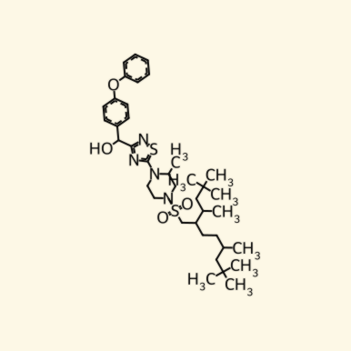 CC(CCC(CS(=O)(=O)N1CCN(c2nc(C(O)c3ccc(Oc4ccccc4)cc3)ns2)C(C)C1)C(C)CC(C)(C)C)CC(C)(C)C